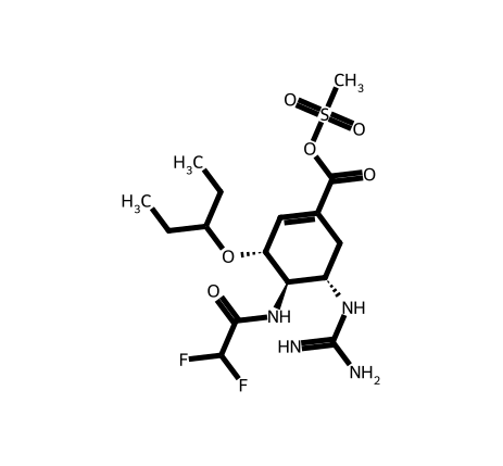 CCC(CC)O[C@@H]1C=C(C(=O)OS(C)(=O)=O)C[C@H](NC(=N)N)[C@H]1NC(=O)C(F)F